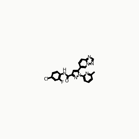 Cc1cccc(-n2nc(C(=O)Nc3ccc(Cl)cc3F)cc2-c2ccc3ncnn3c2)n1